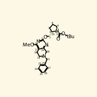 COc1nc(OC[C@@H]2CCCN2C(=O)OC(C)(C)C)nc2c1CCN(Cc1ccccc1)C2